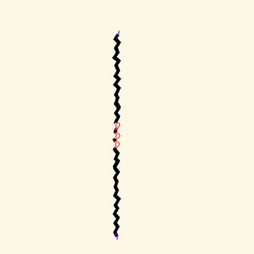 ICCCCCCCCCCCCCCC=CCCCOCOCOCCCC=CCCCCCCCCCCCCCCI